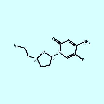 [2H]OC[C@H]1CC[C@@H](n2cc(F)c(N)nc2=O)O1